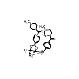 CN1CCN(C(=O)[14c]2ccc(B3OC(C)(C)C(C)(C)O3)cc2)CC1.CN1CCN(C(=O)c2ccc(Br)cc2)[14CH2]C1